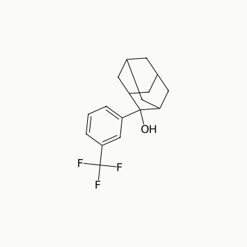 OC1(c2cccc(C(F)(F)F)c2)C2CC3CC(C2)CC1C3